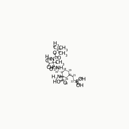 CC(C)C(C)(NC(=O)OC(C)(C)C)C(=O)NC[C@@H]1CC[C@@H](CCB(O)O)C[C@]1(N)C(=O)O